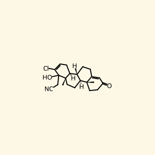 C[C@]12CCC(=O)C=C1CC[C@@H]1[C@@H]2CC[C@@]2(C)[C@H]1CC=C(Cl)C2(O)CC#N